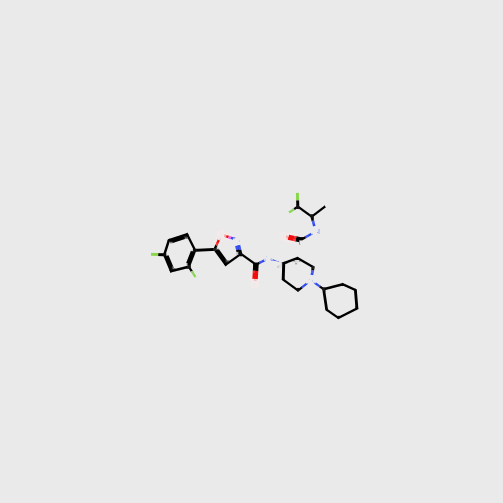 CC(NC(=O)[C@@H]1CN(C2CCCCC2)CC[C@H]1NC(=O)c1cc(-c2ccc(F)cc2F)on1)C(F)F